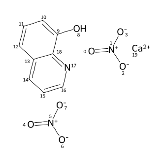 O=[N+]([O-])[O-].O=[N+]([O-])[O-].Oc1cccc2cccnc12.[Ca+2]